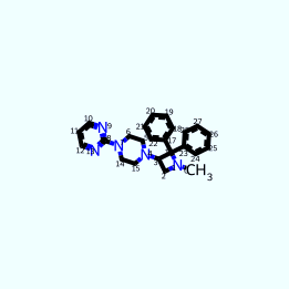 CN1CC(N2CCN(c3ncccn3)CC2)C1(c1ccccc1)c1ccccc1